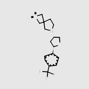 O=S1(=O)CC2(CCN([C@@H]3CO[C@@H](c4ccc(C(F)(F)F)cc4)C3)C2)C1